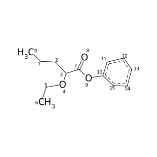 CCCC(OCC)C(=O)Oc1ccccc1